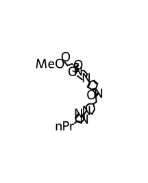 CCCc1cnc(N2CCC(Cc3nc4ccc(N5CCN(S(=O)(=O)CCC(=O)OC)CC5)cc4o3)CC2)nc1